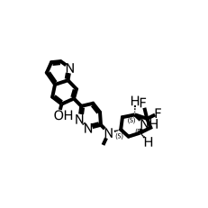 CN(c1ccc(-c2cc3ncccc3cc2O)nn1)[C@H]1C[C@@H]2CC(F)(F)[C@H](C1)N2